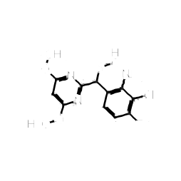 COc1cc(OC)nc(C(SC)c2ccc(F)c(Cl)c2N)n1